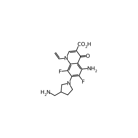 C=Cn1cc(C(=O)O)c(=O)c2c(N)c(F)c(N3CCC(CN)C3)c(F)c21